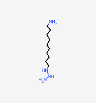 NCCCCCCCCCCNNN